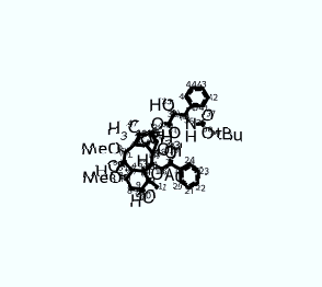 CO[C@H]1C(=O)[C@]2(C)[C@@H](OC)C[C@H]3OC[C@@]3(OC(C)=O)[C@H]2[C@H](CC(=O)c2ccccc2)[C@]2(O)C[C@H](OC(=O)[C@H](O)[C@@H](NC(=O)OC(C)(C)C)c3ccccc3)C(C)=C1C2(C)C